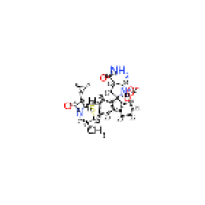 CC1=CN2C(=O)C(C3CC3)[C@@H]2SC1.NC(=O)C1CC(c2ccccc2)(c2ccccc2)[N+]([O-])([O-])C1